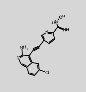 N=C(NO)c1ccc(C#Cc2c(N)ncc3ccc(Cl)cc23)cn1